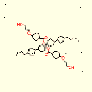 CCCC1CCC(C2CCC(OC(=O)C3CCC(OCCCO)CC3)(C3(OC(=O)C4CCC(OCCCO)CC4)CCC(C4CCC(CCC)CC4)CC3)CC2)CC1